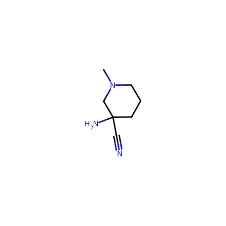 CN1CCCC(N)(C#N)C1